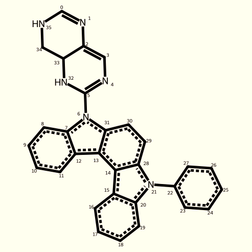 C1=NC2=CN=C(n3c4ccccc4c4c5c6ccccc6n(-c6ccccc6)c5ccc43)NC2CN1